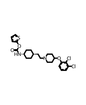 O=C(N[C@H]1CC[C@H](CCN2CCC(Oc3cccc(Cl)c3Cl)CC2)CC1)Oc1cccs1